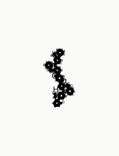 Cc1ccccc1-c1ccc(N2c3ccccc3C(C)(C)c3c2ccc2c3oc3cc4c(cc32)oc2c3c(ccc24)N(c2ccc4c(c2)[Si](C)(C)c2ccccc2-4)c2ccccc2C3(C)C)cc1[SiH](C)C